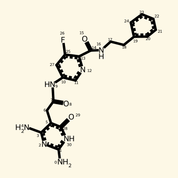 Nc1nc(N)c(CC(=O)Nc2cnc(C(=O)NCCc3ccccc3)c(F)c2)c(=O)[nH]1